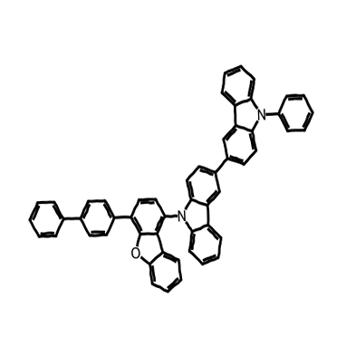 c1ccc(-c2ccc(-c3ccc(-n4c5ccccc5c5cc(-c6ccc7c(c6)c6ccccc6n7-c6ccccc6)ccc54)c4c3oc3ccccc34)cc2)cc1